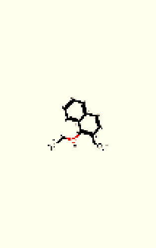 O=C(O)c1ccc2ccccc2c1OCC(F)(F)F